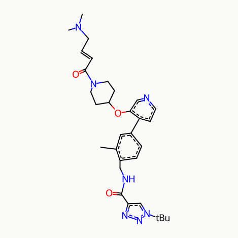 Cc1cc(-c2ccncc2OC2CCN(C(=O)C=CCN(C)C)CC2)ccc1CNC(=O)c1cn(C(C)(C)C)nn1